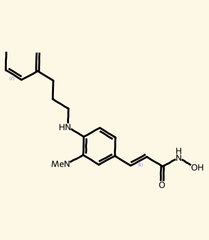 C=C(/C=C\C)CCCNc1ccc(/C=C/C(=O)NO)cc1NC